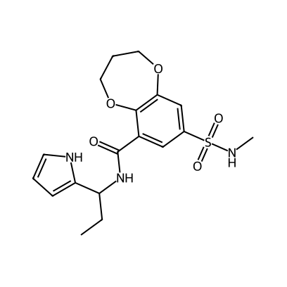 CCC(NC(=O)c1cc(S(=O)(=O)NC)cc2c1OCCCO2)c1ccc[nH]1